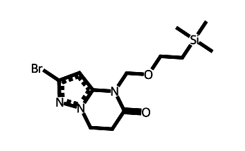 C[Si](C)(C)CCOCN1C(=O)CCn2nc(Br)cc21